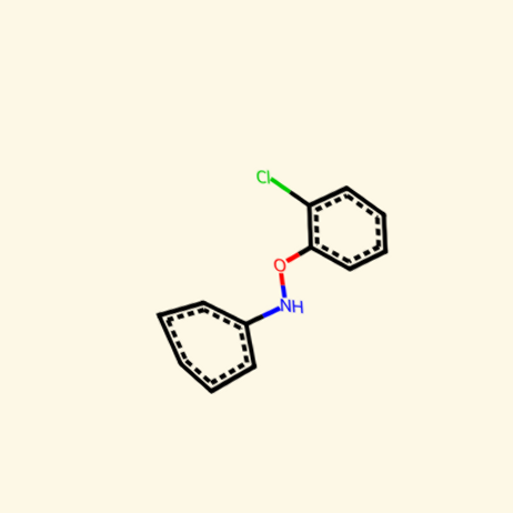 Clc1ccccc1ONc1ccccc1